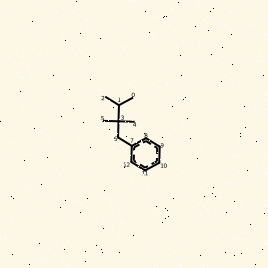 CC(C)C(C)(C)Cc1ccccc1